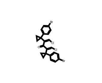 O=C(C(=CCl)C1(c2ccc(Br)cc2)CC1)C(=CCl)C1(c2ccc(Br)cc2)CC1